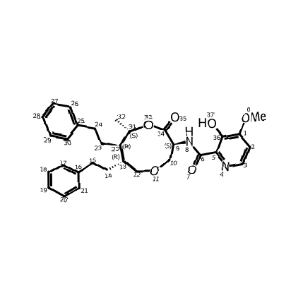 COc1ccnc(C(=O)N[C@H]2COC[C@H](CCc3ccccc3)[C@@H](CCc3ccccc3)[C@H](C)OC2=O)c1O